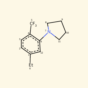 CCc1ccc(C(F)(F)F)c(N2CCCC2)c1